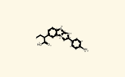 CCC(C(=O)O)c1ccc2sc3nc(-c4ccc(N)cc4)cn3c2c1